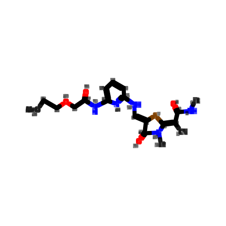 CCNC(=O)C(C#N)=c1sc(=CNc2cccc(NC(=O)COCCOC)n2)c(=O)n1CC